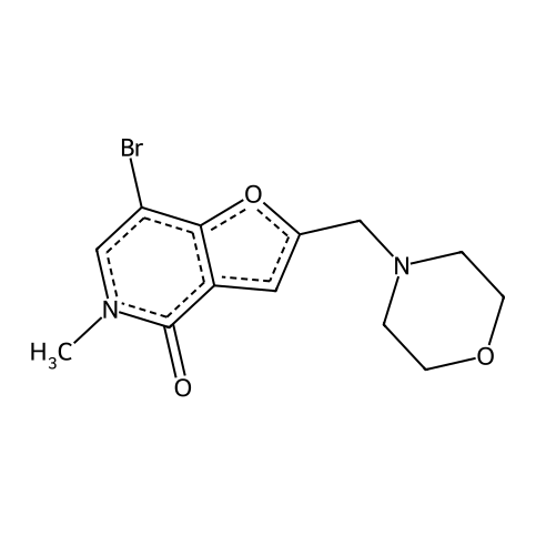 Cn1cc(Br)c2oc(CN3CCOCC3)cc2c1=O